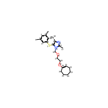 Cc1cc(C)cc(Sc2c(C(C)C)nc(C)n2COCCOC2=CCCCCC2)c1